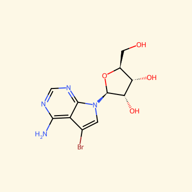 Nc1ncnc2c1c(Br)cn2[C@H]1O[C@@H](CO)[C@H](O)[C@@H]1O